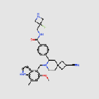 COc1cc(C)c2[nH]ccc2c1CN1CCC2(CC(C#N)C2)CC1c1ccc(C(=O)NCC2(F)CNC2)cc1